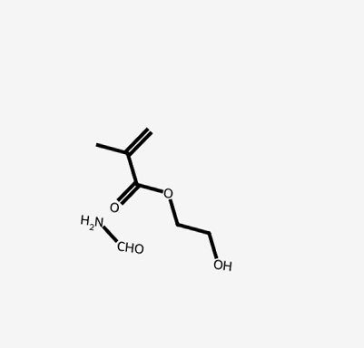 C=C(C)C(=O)OCCO.NC=O